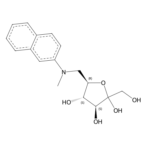 CN(C[C@H]1OC(O)(CO)[C@@H](O)[C@@H]1O)c1ccc2ccccc2c1